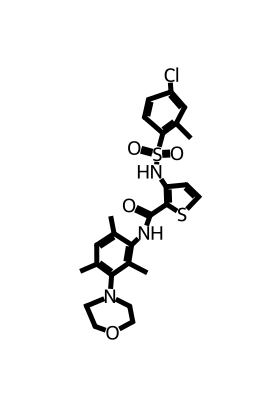 Cc1cc(Cl)ccc1S(=O)(=O)Nc1ccsc1C(=O)Nc1c(C)cc(C)c(N2CCOCC2)c1C